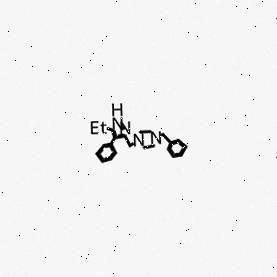 CCc1[nH]nc(CN2CCN(Cc3ccccc3)CC2)c1-c1ccccc1